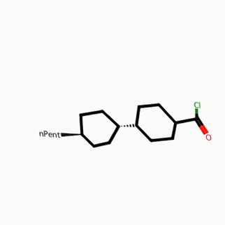 CCCCC[C@H]1CC[C@H](C2CCC(C(=O)Cl)CC2)CC1